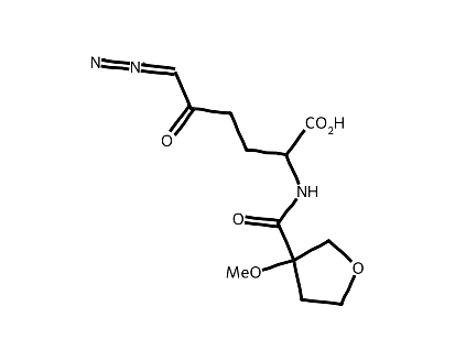 COC1(C(=O)NC(CCC(=O)C=[N+]=[N-])C(=O)O)CCOC1